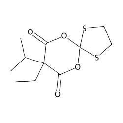 CCC1(C(C)C)C(=O)OC2(OC1=O)SCCS2